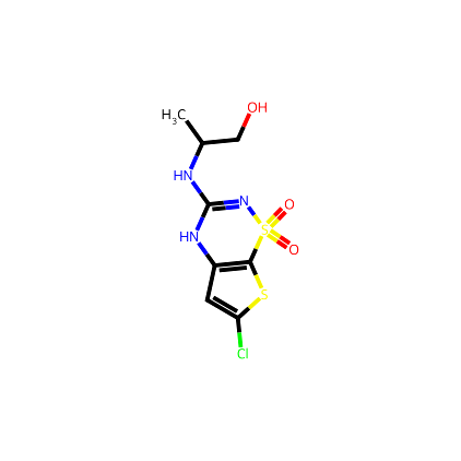 CC(CO)NC1=NS(=O)(=O)c2sc(Cl)cc2N1